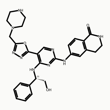 O=C1NCCc2cc(Nc3ncc(-c4nnc(CN5CCNCC5)o4)c(N[C@H](CO)c4ccccc4)n3)ccc21